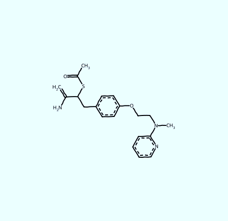 C=C(N)C(Cc1ccc(OCCN(C)c2ccccn2)cc1)SC(C)=O